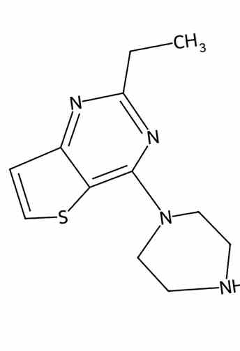 CCc1nc(N2CCNCC2)c2sccc2n1